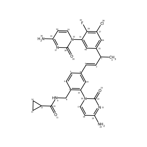 CC(/C=C/c1ccc(CNC(=O)C2CC2)c(-n2ccc(N)nc2=O)c1)c1cc(Cl)c(F)c(-n2ccc(N)nc2=O)c1